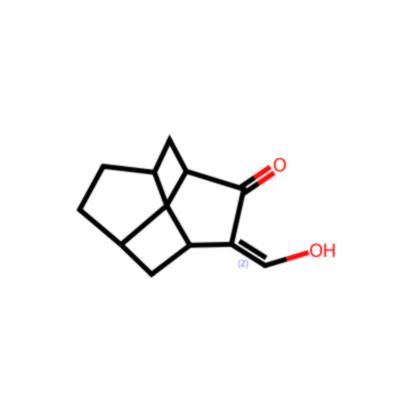 O=C1/C(=C\O)C2CC3CCC4CC1C432